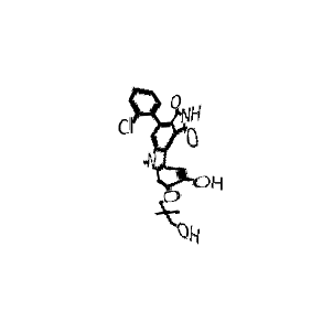 Cn1c2cc(OCC(C)(C)CO)c(O)cc2c2c3c(c(-c4ccccc4Cl)cc21)C(=O)NC3=O